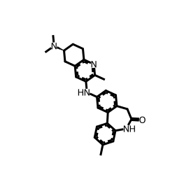 Cc1ccc2c(c1)NC(=O)Cc1ccc(Nc3cc4c(nc3C)CC[C@H](N(C)C)C4)cc1-2